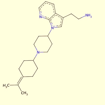 CC(C)=C1CCC(N2CCC(n3cc(CCN)c4cccnc43)CC2)CC1